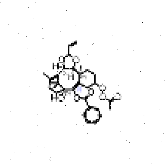 C=CC1O[C@@H]2C3=C(C)CC[C@@](O)(/C(OC(=O)c4ccccc4)=C4/CC(OOC(C)=O)CC[C@@]4(C)[C@@H]2O1)C3(C)C